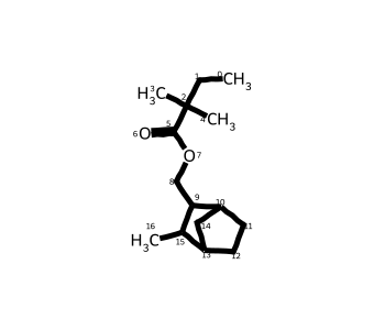 CCC(C)(C)C(=O)OCC1C2CCC(C2)C1C